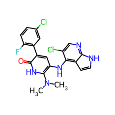 CN(C)c1[nH]c(=O)c(-c2cc(Cl)ccc2F)cc1Nc1c(Cl)cnc2[nH]ccc12